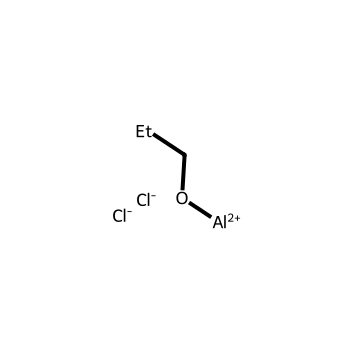 CCC[O][Al+2].[Cl-].[Cl-]